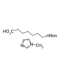 CCCCCCCCCCCCCCCC(=O)O.Cn1ccnc1